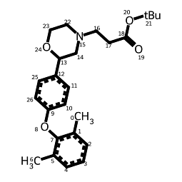 Cc1cccc(C)c1Oc1ccc(C2CN(CCC(=O)OC(C)(C)C)CCO2)cc1